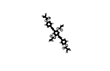 C=CC(=O)Oc1cc(C#Cc2ccc(OC(=O)C(=C)C)cc2)c(OC(=O)C=C)cc1C#Cc1ccc(OC(=O)C(=C)C)cc1